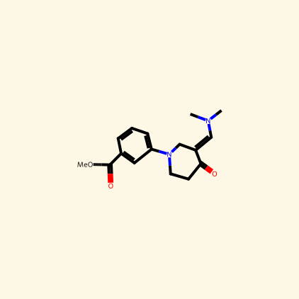 COC(=O)c1cccc(N2CCC(=O)/C(=C/N(C)C)C2)c1